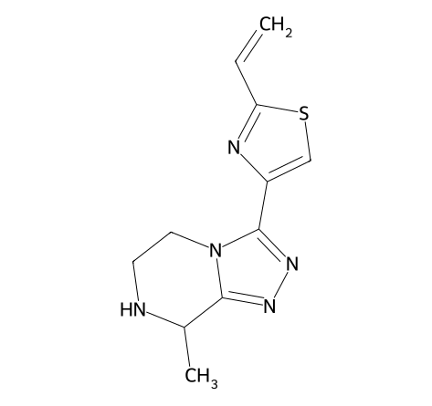 C=Cc1nc(-c2nnc3n2CCNC3C)cs1